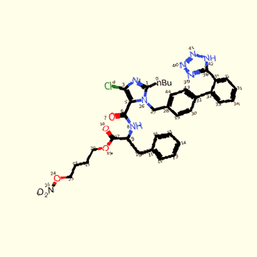 CCCCc1nc(Cl)c(C(=O)NC(Cc2ccccc2)C(=O)OCCCCO[N+](=O)[O-])n1Cc1ccc(-c2ccccc2-c2nnn[nH]2)cc1